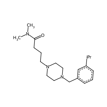 CC(C)c1cccc(CN2CCN(CCCC(=O)N(C)C)CC2)c1